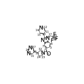 O=C(c1ccc2c(c1)nc(-c1ccncc1)n2CC(F)(F)F)N1CCC(c2cncnc2)C1